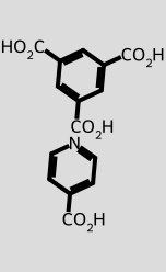 O=C(O)c1cc(C(=O)O)cc(C(=O)O)c1.O=C(O)c1ccncc1